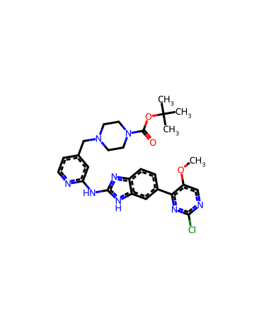 COc1cnc(Cl)nc1-c1ccc2nc(Nc3cc(CN4CCN(C(=O)OC(C)(C)C)CC4)ccn3)[nH]c2c1